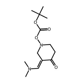 CN(C)C=C1CN(OC(=O)OC(C)(C)C)CCC1=O